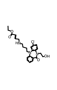 CCOC(=O)/C=C/CNCCCCN1c2ccccc2C(=O)N(CCO)c2ccc(Cl)cc21